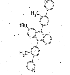 Cc1cc(-c2c3ccccc3c(-c3ccc(-c4cccnc4)c(C)c3)c3cc(C(C)(C)C)ccc23)ccc1-c1cccnc1